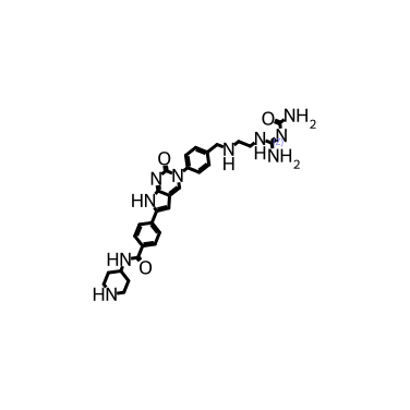 NC(=O)/N=C(/N)NCCNCc1ccc(-n2cc3cc(-c4ccc(C(=O)NC5CCNCC5)cc4)[nH]c3nc2=O)cc1